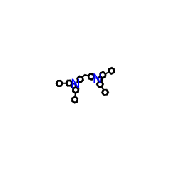 c1ccc(-c2ccc3c(c2)c2cc(-c4ccccc4)ccc2n3-c2ccc(Cc3ccc(-n4c5ccc(-c6ccccc6)cc5c5cc(-c6ccccc6)ccc54)cc3)cc2)cc1